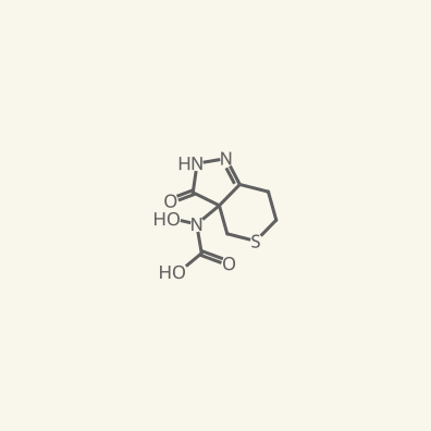 O=C(O)N(O)C12CSCCC1=NNC2=O